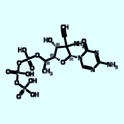 C#CC1(N)[C@@H](O)[C@@H]([C@@H](C)OP(=O)(O)OP(=O)(O)OP(=O)(O)O)O[C@H]1n1cnc(N)nc1=O